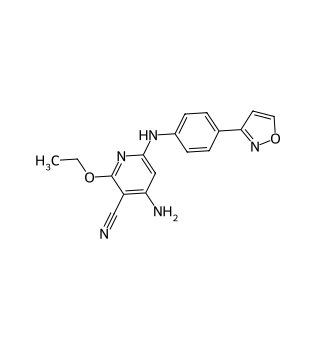 CCOc1nc(Nc2ccc(-c3ccon3)cc2)cc(N)c1C#N